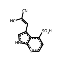 N#CC(C#N)=Cc1c[nH]c2nccc(S(=O)(=O)O)c12